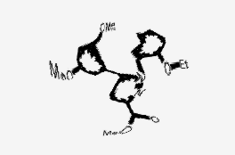 CCOc1ccccc1-n1nc(C(=O)OC)cc1-c1cc(OC)cc(OC)c1